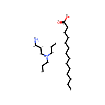 CCCCCCCCCCCCCC(=O)O.CCCN(CCC)CCCN